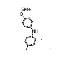 CSOc1ccc(Nc2ccc(C)cc2)cc1